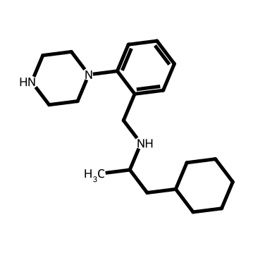 CC(CC1CCCCC1)NCc1ccccc1N1CCNCC1